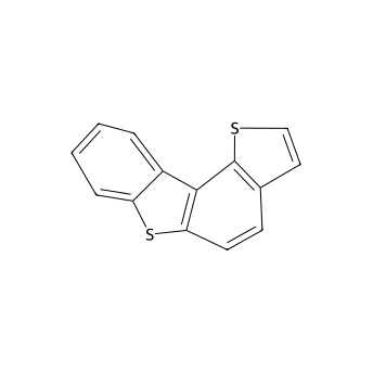 c1ccc2c(c1)sc1ccc3ccsc3c12